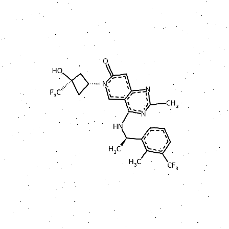 Cc1nc(N[C@H](C)c2cccc(C(F)(F)F)c2C)c2cn([C@H]3C[C@@](O)(C(F)(F)F)C3)c(=O)cc2n1